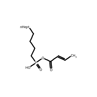 CC=CC(=O)OP(=O)(O)CCCCCCCCCCC